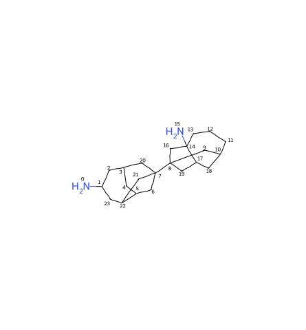 NC1CC2CC3CC(C45CC6CCCC(N)(C4)C(C6)C5)(C2)CC3C1